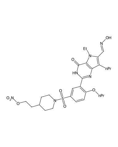 CCCOc1ccc(S(=O)(=O)N2CCC(CCO[N+](=O)[O-])CC2)cc1-c1nc2c(CCC)c(C=NO)n(CC)c2c(=O)[nH]1